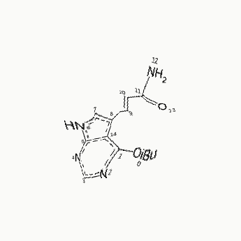 CC(C)COc1ncnc2[nH]cc(C=CC(N)=O)c12